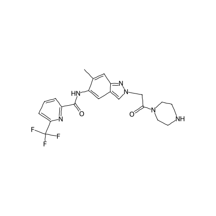 Cc1cc2nn(CC(=O)N3CCNCC3)cc2cc1NC(=O)c1cccc(C(F)(F)F)n1